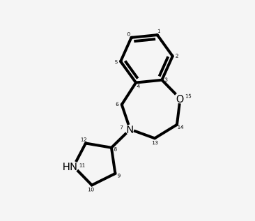 c1ccc2c(c1)CN(C1CCNC1)CCO2